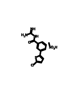 CS(=O)(=O)O.N=C(N)NC(=O)c1cccc(-c2ccc(Cl)s2)c1